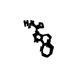 NC(=O)n1cnc2c1C=CN1C=CC=CN=C21